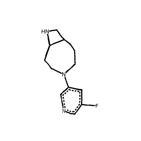 Fc1cncc(N2CCC3CNC3CC2)c1